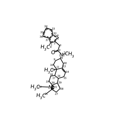 Cc1c(CC(=O)N(C)C2CCC3(C)C(=CCC4C3CCC35CN(C)C(C)C3CCC45)C2)sc2ccccc12